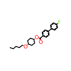 CCCCCO[C@H]1CC[C@H](OC(=O)c2ccc(-c3ccc(F)cc3)cc2)CC1